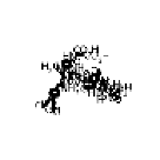 CC(=O)O.CN(Cc1cnc2nc(N)nc(N)c2n1)c1ccc(C(=O)N[C@@H](CCC(=O)O)C(=O)O)cc1.COc1c2occc2cc2ccc(=O)oc12.N[C@@H](Cc1ccc(N(CCCl)CCCl)cc1)C(=O)O.O=S(=O)([O-])CCS.S=c1[nH]cnc2nc[nH]c12.[Na+]